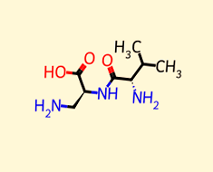 CC(C)[C@H](N)C(=O)N[C@@H](CN)C(=O)O